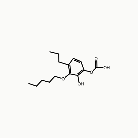 CCCCCOc1c(CCC)ccc(OC(=O)O)c1O